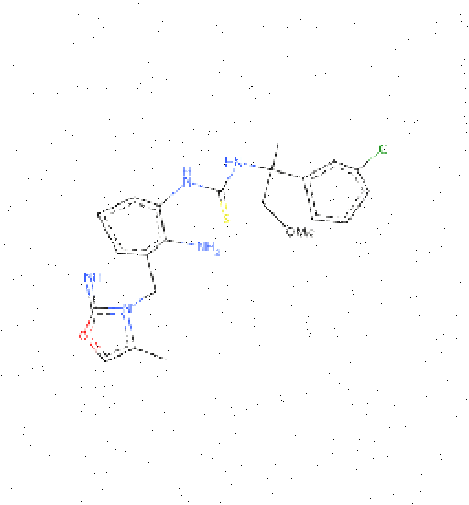 COCC(C)(NC(=S)Nc1cccc(Cn2c(C)coc2=N)c1N)c1cccc(Cl)c1